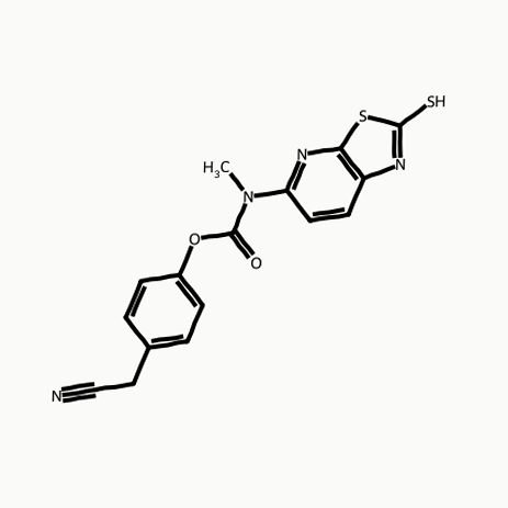 CN(C(=O)Oc1ccc(CC#N)cc1)c1ccc2nc(S)sc2n1